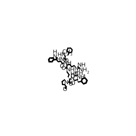 CN[C@H](CC1CCCCC1)C(=O)NC(Cc1c[nH]c2ccccc12)C(=O)NC(CCCNC(=N)N)C(=O)NCCC[C@H](NC(=O)[C@H](Cc1ccccc1)NC(C)=O)C(=O)N1CCCC1C=O